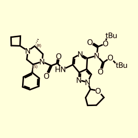 C[C@@H]1CN(C(=O)C(=O)Nc2cnc(N(C(=O)OC(C)(C)C)C(=O)OC(C)(C)C)c3cn(C4CCCCO4)nc23)[C@@H](c2ccccc2)CN1C1CCC1